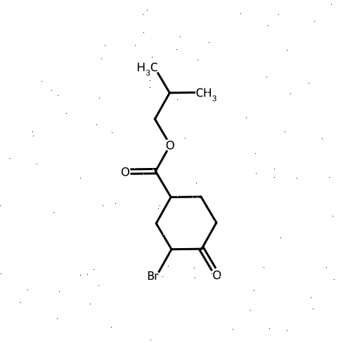 CC(C)COC(=O)C1CCC(=O)C(Br)C1